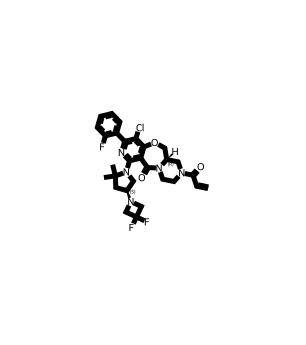 C=CC(=O)N1CCN2C(=O)c3c(N4C[C@@H](N5CC(F)(F)C5)CC4(C)C)nc(-c4ccccc4F)c(Cl)c3OC[C@H]2C1